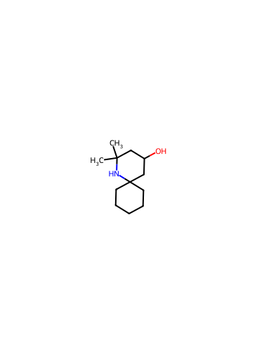 CC1(C)CC(O)CC2(CCCCC2)N1